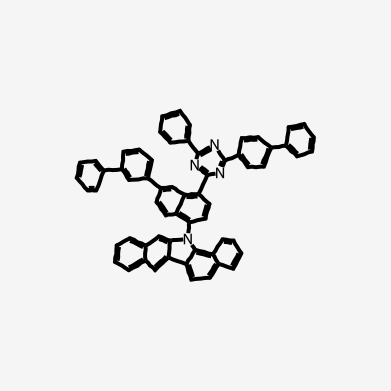 c1ccc(-c2ccc(-c3nc(-c4ccccc4)nc(-c4ccc(-n5c6cc7ccccc7cc6c6ccc7ccccc7c65)c5ccc(-c6cccc(-c7ccccc7)c6)cc45)n3)cc2)cc1